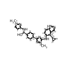 Cn1ccc(NC(O)c2ccc(-c3nc(Nc4ccc5[nH]ncc5c4C4CC4)n(C)n3)cc2)n1